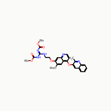 COc1cc2c(Oc3cc4ccccc4nc3C)ccnc2cc1OCCN/C(=N\C(=O)OC(C)(C)C)NC(=O)OC(C)(C)C